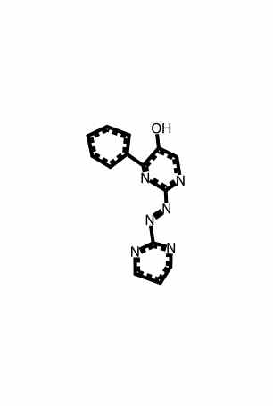 Oc1cnc(N=Nc2ncccn2)nc1-c1ccccc1